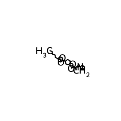 C=C(CN1CCCC1)C(=O)OC1CCC(C2OCC(CCCCC)CO2)CC1